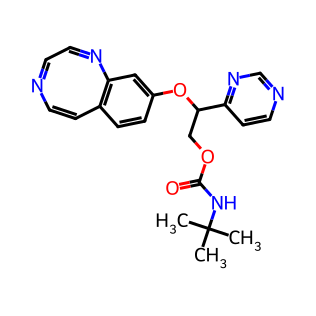 CC(C)(C)NC(=O)OCC(Oc1ccc2c(c1)N=CC=NC=C2)c1ccncn1